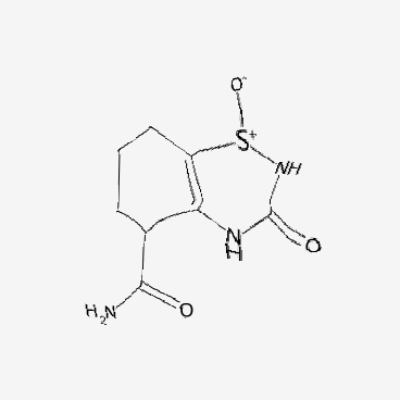 NC(=O)C1CCCC2=C1NC(=O)N[S+]2[O-]